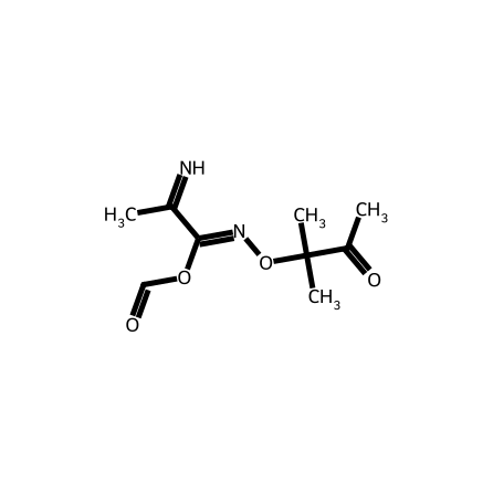 CC(=N)/C(=N/OC(C)(C)C(C)=O)OC=O